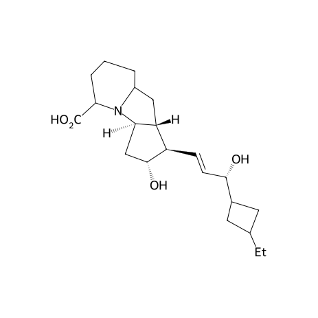 CCC1CC([C@@H](O)/C=C/[C@@H]2[C@H]3CC4CCCC(C(=O)O)N4[C@@H]3C[C@H]2O)C1